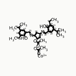 CC(=O)[O-].CC(=O)[O-].CCc1cc(C(C)C)cc(C=NC2CCC(N=Cc3cc(C(C)C)cc(CC)c3O)C2)c1O.[Co+2]